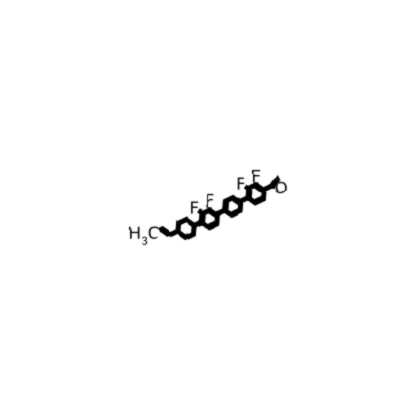 C/C=C/C1CCC(c2ccc(-c3ccc(-c4ccc(C5CO5)c(F)c4F)cc3)c(F)c2F)CC1